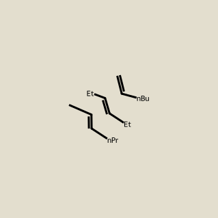 C/C=C/CCC.C=CCCCC.CC/C=C/CC